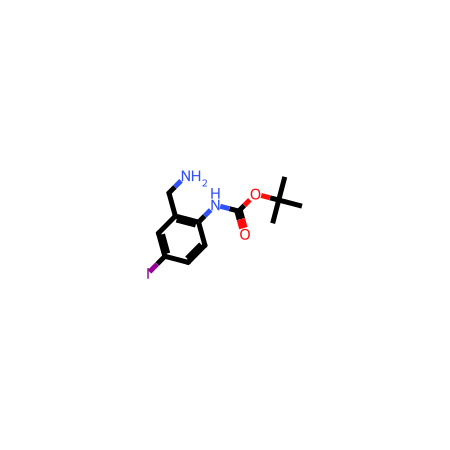 CC(C)(C)OC(=O)Nc1ccc(I)cc1CN